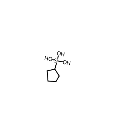 O[Si](O)(O)C1CCCC1